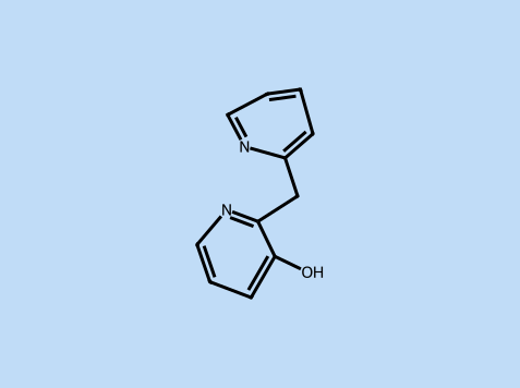 Oc1cccnc1Cc1ccccn1